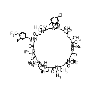 CC[C@H](C)[C@@H]1NC(=O)[C@H](CC(C)C)N(C)C(=O)C[C@@H](C)N(C)C(=O)[C@H](CC(C)C)NC(=O)C(C)(C)N(C)C(=O)[C@H](CC(C)C)NC(=O)[C@H](CCc2ccc(C(F)(F)F)c(F)c2)NC(=O)CN(C)C(=O)[C@H](Cc2ccc(Cl)cc2)N(C)C(=O)CN(C)C(=O)CN(C)C1=O